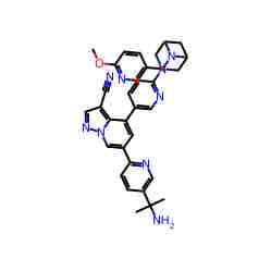 COc1ccc(CN2C3CC2CN(c2ccc(-c4cc(-c5ccc(C(C)(C)N)cn5)cn5ncc(C#N)c45)cn2)C3)cn1